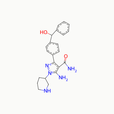 NC(=O)c1c(-c2ccc(C(O)c3ccccc3)cc2)nn(C2CCCNC2)c1N